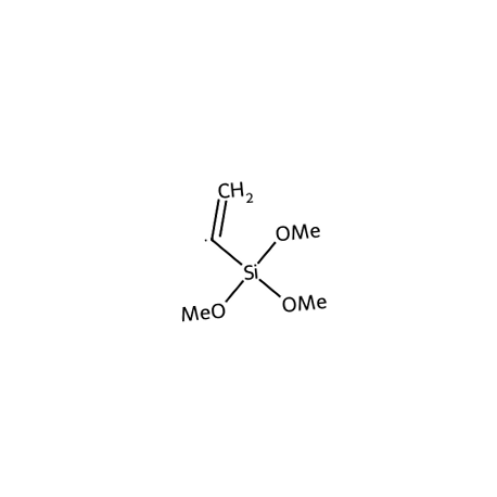 C=[C][Si](OC)(OC)OC